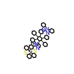 CC(C)(C)c1ccc2c(c1-c1nccc(-c3c(-c4ccccc4)c(-c4ccccc4)c(-c4ccccc4)c(-c4cccc(-n5c6ccccc6n6c7ccccc7nc56)c4)c3-c3ccccc3)n1)Sc1ccccc1[Si]21c2ccccc2Sc2ccccc21